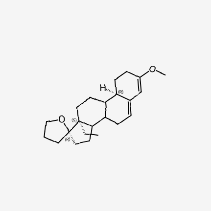 CC[C@]12CCC3C(CC=C4C=C(OC)CC[C@@H]43)C1CC[C@@]21CCCO1